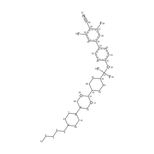 CCCCCC1CCC(C2COC(C3CCC(C(F)(F)Oc4ccc(-c5cc(F)c(C#N)c(F)c5)cc4)CC3)OC2)CC1